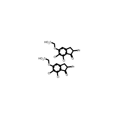 CC(C)C1Cc2cc(OCC(=O)O)c(Cl)c(Cl)c2C1=O.CC(C)C1Cc2cc(OCC(=O)O)c(Cl)c(Cl)c2C1=O